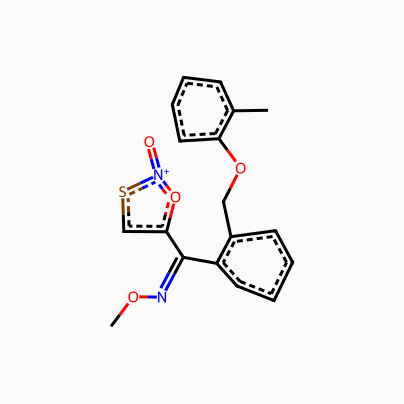 CON=C(c1cs[n+](=O)o1)c1ccccc1COc1ccccc1C